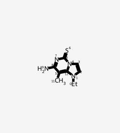 CCn1ccn2c(=S)nc(N)c(C)c12